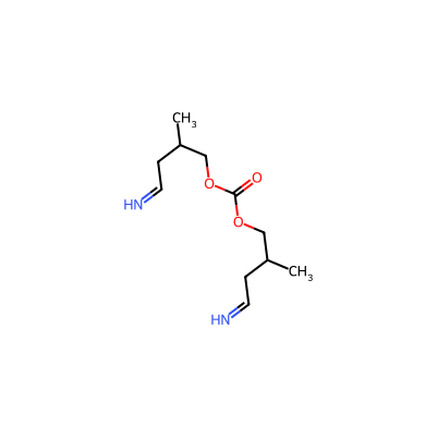 CC(CC=N)COC(=O)OCC(C)CC=N